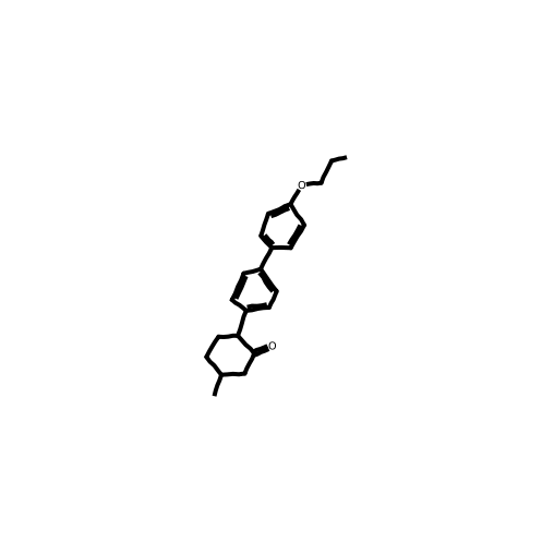 CCCOc1ccc(-c2ccc(C3CCC(C)CC3=O)cc2)cc1